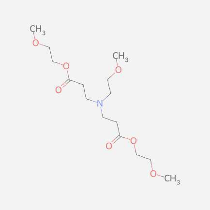 COCCOC(=O)CCN(CCOC)CCC(=O)OCCOC